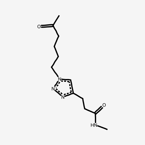 CNC(=O)CCc1cn(CCCCC(C)=O)nn1